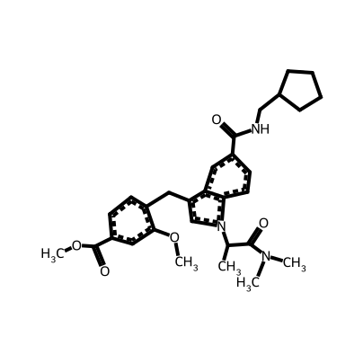 COC(=O)c1ccc(Cc2cn(C(C)C(=O)N(C)C)c3ccc(C(=O)NCC4CCCC4)cc23)c(OC)c1